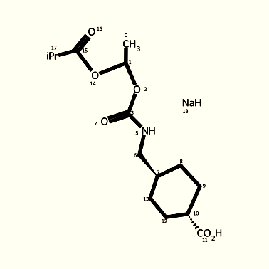 CC(OC(=O)NC[C@H]1CC[C@H](C(=O)O)CC1)OC(=O)C(C)C.[NaH]